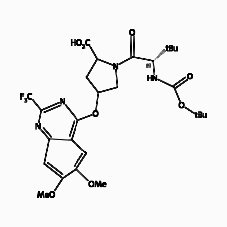 COc1cc2nc(C(F)(F)F)nc(OC3CC(C(=O)O)N(C(=O)[C@@H](NC(=O)OC(C)(C)C)C(C)(C)C)C3)c2cc1OC